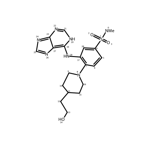 CNS(=O)(=O)c1ccc(N2CCC(CCO)CC2)c(Nc2[nH]cnc3ncnc2-3)c1